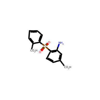 Nc1cc(C(=O)O)ccc1S(=O)(=O)c1ccccc1C(=O)O